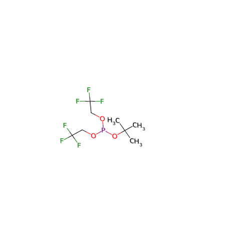 CC(C)(C)OP(OCC(F)(F)F)OCC(F)(F)F